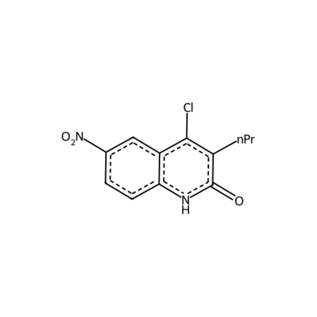 CCCc1c(Cl)c2cc([N+](=O)[O-])ccc2[nH]c1=O